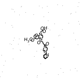 COC(=O)CC1C(=O)N(CC(=O)O)CCN1C(=O)CCC(=O)N1CCN(c2ccccn2)CC1